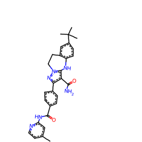 Cc1ccnc(NC(=O)c2ccc(-c3nn4c(c3C(N)=O)Nc3ccc(C(C)(C)C)cc3CC4)cc2)c1